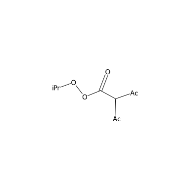 CC(=O)C(C(C)=O)C(=O)OOC(C)C